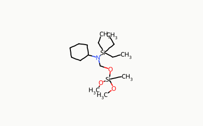 CC[Si](CC)(CC)N(CO[Si](C)(OC)OC)C1CCCCC1